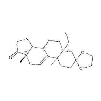 CCC12CCC3C(=CC[C@]4(C)C(=O)CCC34)C1(C)CCC1(C2)OCCO1